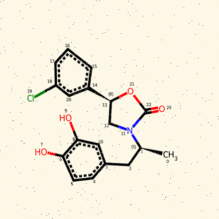 C[C@@H](Cc1ccc(O)c(O)c1)N1C[C@@H](c2cccc(Cl)c2)OC1=O